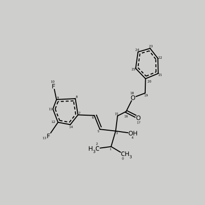 CC(C)C(O)(C=Cc1cc(F)cc(F)c1)CC(=O)OCc1ccccc1